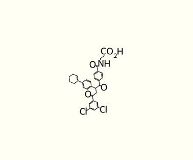 O=C(O)CCNC(=O)c1ccc(C(=O)C(CC(=O)c2cc(Cl)cc(Cl)c2)c2ccc(C3=CCCCC3)cc2)cc1